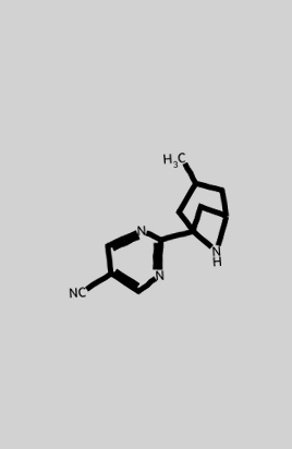 CC1CC2CC(c3ncc(C#N)cn3)(C1)N2